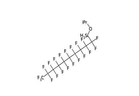 CC(C)O[SiH2]C(F)(F)C(F)(F)C(F)(F)C(F)(F)C(F)(F)C(F)(F)C(F)(F)C(F)(F)C(F)(F)C(F)(F)F